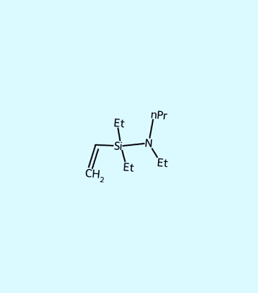 C=C[Si](CC)(CC)N(CC)CCC